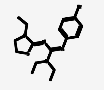 CCN(CC)C(=Nc1ccc(Br)cc1)N=C1SCCN1CC